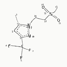 Cc1cc(C(F)(F)F)nn1CCS(C)(=O)=O